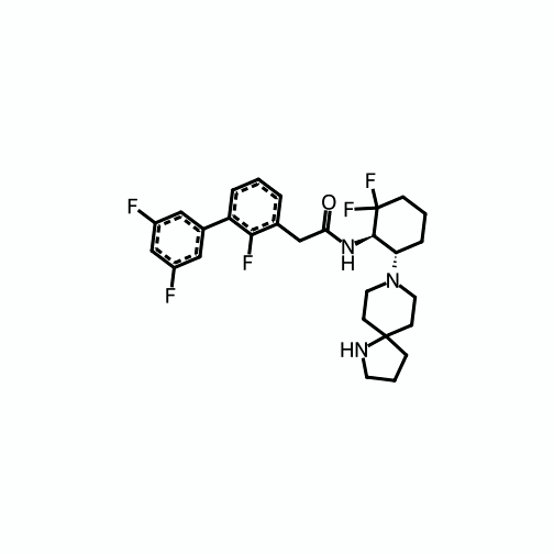 O=C(Cc1cccc(-c2cc(F)cc(F)c2)c1F)N[C@@H]1[C@@H](N2CCC3(CCCN3)CC2)CCCC1(F)F